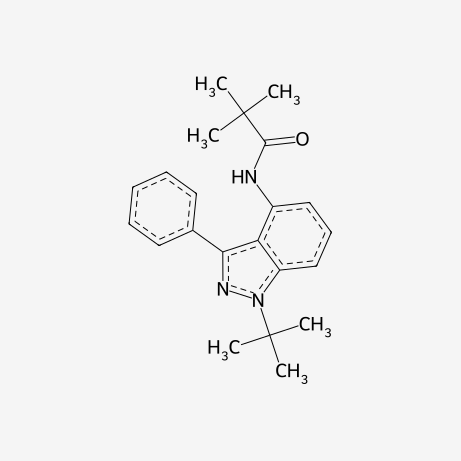 CC(C)(C)C(=O)Nc1cccc2c1c(-c1ccccc1)nn2C(C)(C)C